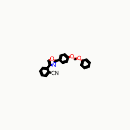 N#Cc1ccccc1-c1coc(-c2ccc(OCOc3ccccc3)cc2)n1